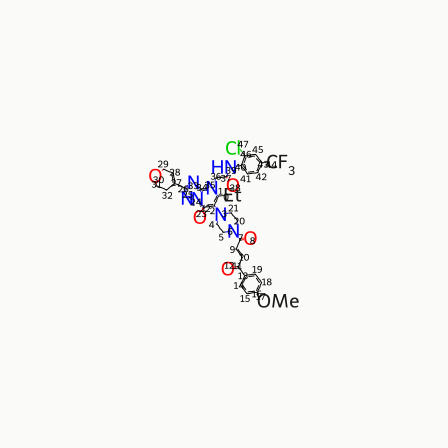 CCc1c(N2CCN(C(=O)/C=C/C(=O)c3ccc(OC)cc3)CC2)c(=O)n2nc(C3=CCOCC3)nc2n1CC(=O)Nc1ccc(C(F)(F)F)cc1Cl